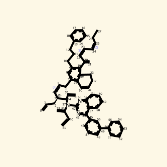 C=CC[C@@H](/C=C\Cc1cc(CCCc2ccccc2)c(C(=C)/C=C\C=C/CC)c2c1C=CCC2)C(C=C)N(C(=C)C=C)c1nc(-c2cccc(-c3ccccc3)c2)c2ccccc2n1